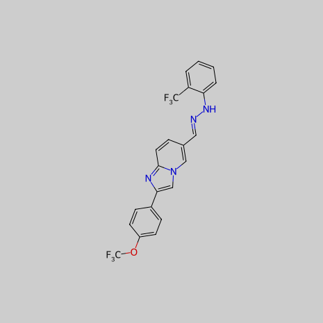 FC(F)(F)Oc1ccc(-c2cn3cc(/C=N/Nc4ccccc4C(F)(F)F)ccc3n2)cc1